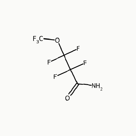 NC(=O)C(F)(F)C(F)(F)OC(F)(F)F